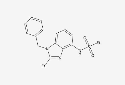 CCc1nc2c(NS(=O)(=O)CC)cccc2n1Cc1ccccc1